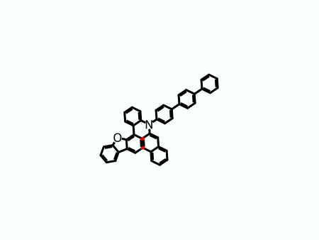 c1ccc(-c2ccc(-c3ccc(N(c4ccc5ccccc5c4)c4ccccc4-c4cccc5c4oc4ccccc45)cc3)cc2)cc1